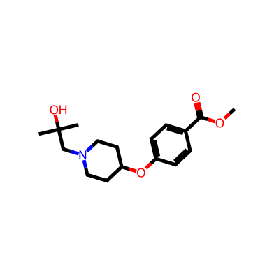 COC(=O)c1ccc(OC2CCN(CC(C)(C)O)CC2)cc1